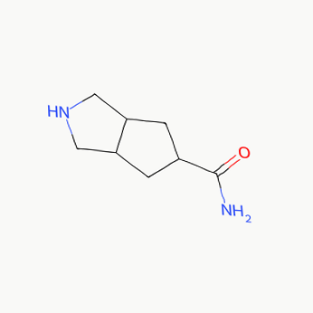 NC(=O)C1CC2CNCC2C1